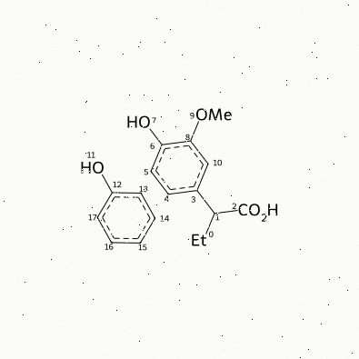 CCC(C(=O)O)c1ccc(O)c(OC)c1.Oc1ccccc1